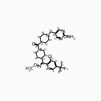 CON=C(c1ncc(C(F)(F)F)cc1Cl)C1CCN(C(=O)C2CCN(Cc3cnc(N)nc3)CC2)CC1